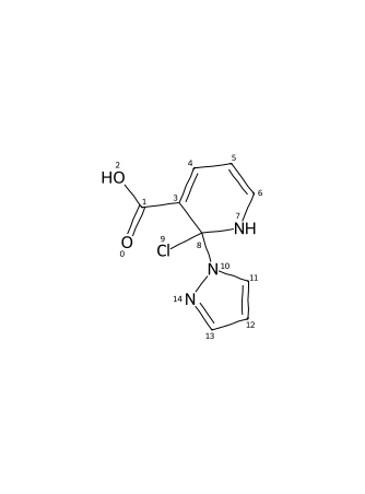 O=C(O)C1=CC=CNC1(Cl)n1cccn1